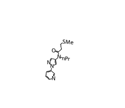 CCCN(C(=O)CCSC)c1cnn(-c2cccnc2)c1